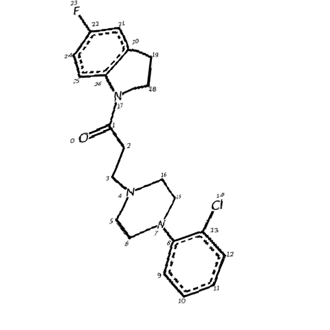 O=C(CCN1CCN(c2ccccc2Cl)CC1)N1CCc2cc(F)ccc21